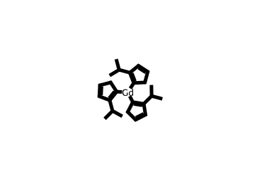 CC(C)C1=[C]([Gd]([C]2=C(C(C)C)C=CC2)[C]2=C(C(C)C)C=CC2)CC=C1